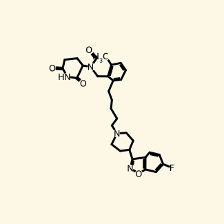 Cc1cccc(CCCCCN2CCC(c3noc4cc(F)ccc34)CC2)c1CN(C=O)C1CCC(=O)NC1=O